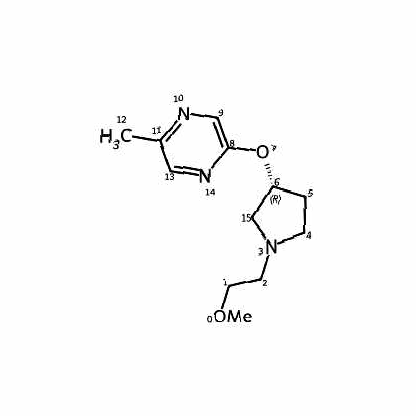 COCCN1CC[C@@H](Oc2cnc(C)cn2)C1